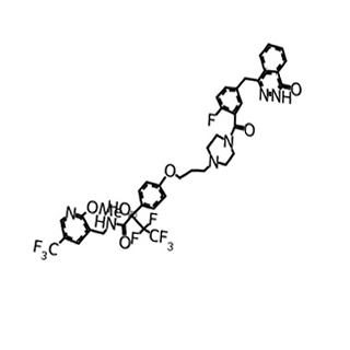 COc1ncc(C(F)(F)F)cc1CNC(=O)[C@@](O)(c1ccc(OCCCN2CCN(C(=O)c3cc(Cc4n[nH]c(=O)c5ccccc45)ccc3F)CC2)cc1)C(F)(F)C(F)(F)F